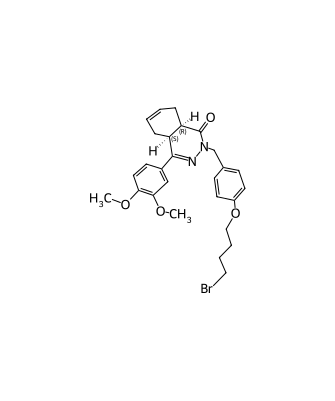 COc1ccc(C2=NN(Cc3ccc(OCCCCBr)cc3)C(=O)[C@@H]3CC=CC[C@H]23)cc1OC